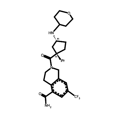 CC(C)[C@]1(C(=O)N2CCc3c(cc(C(F)(F)F)cc3C(N)=O)C2)CC[C@@H](NC2CCOCC2)C1